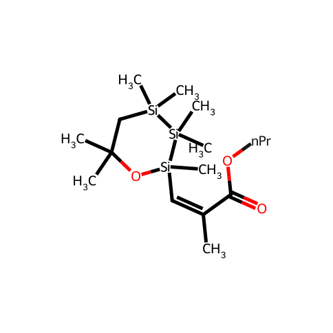 CCCOC(=O)C(C)=C[Si]1(C)OC(C)(C)C[Si](C)(C)[Si]1(C)C